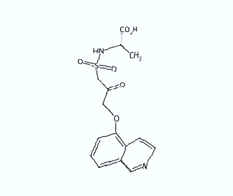 C[C@H](NS(=O)(=O)CC(=O)COc1cccc2cnccc12)C(=O)O